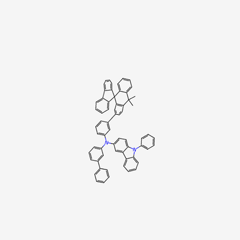 CC1(C)c2ccccc2C2(c3ccccc3-c3ccccc32)c2cc(-c3cccc(N(c4cccc(-c5ccccc5)c4)c4ccc5c(c4)c4ccccc4n5-c4ccccc4)c3)ccc21